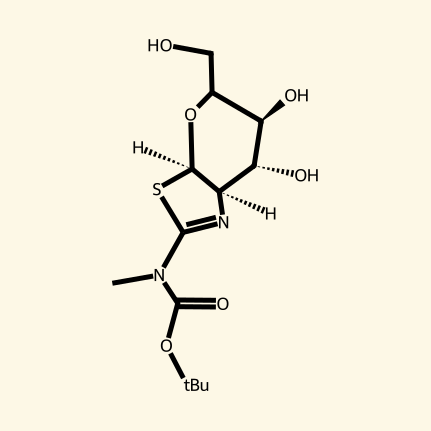 CN(C(=O)OC(C)(C)C)C1=N[C@@H]2[C@@H](O)[C@H](O)C(CO)O[C@@H]2S1